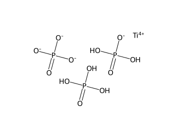 O=P(O)(O)O.O=P([O-])(O)O.O=P([O-])([O-])[O-].[Ti+4]